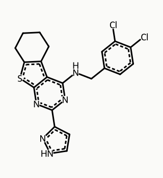 Clc1ccc(CNc2nc(-c3cc[nH]n3)nc3sc4c(c23)CCCC4)cc1Cl